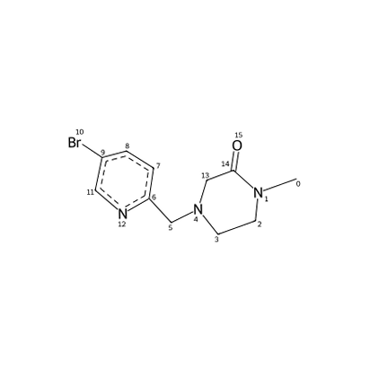 CN1CCN(Cc2ccc(Br)cn2)CC1=O